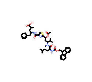 CC(=O)OC(CC(C(C)C)N(C)C(=O)C(CCC(C)C)NC(=O)OCC1c2ccccc2-c2ccccc21)c1nc(C(=O)NC(Cc2ccccc2)CC(C)C(=O)O)cs1